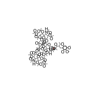 CCC(Cc1c(OC)cc(OC)c(OC)c1OC)C(=O)[C@@H](C)NC[C@@H]1OC(CO[C@]2(C(=O)OC)C[C@@H](OC(C)=O)[C@@H](NC(C)=O)C([C@H](OC(C)=O)[C@@H](COC(C)=O)OC(C)=O)O2)[C@H](OC(C)=O)[C@H](O[C@@H]2OC(COC(C)=O)[C@@H]3OC(=O)[C@]4(C[C@@H](OC(C)=O)[C@@H](NC(C)=O)C([C@H](OC(C)=O)[C@@H](COC(C)=O)OC(C)=O)O4)O[C@@H]3C2OC(C)=O)C1NC(C)=O